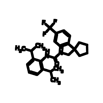 CC(C)c1cccc(C(C)C)c1NC(=O)NCC1(c2ccc(C(F)(F)F)cc2)CCCC1